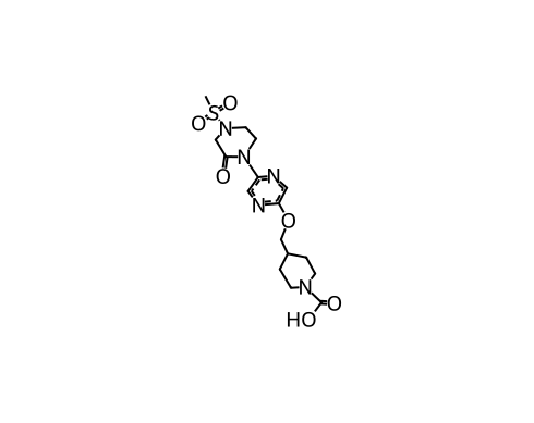 CS(=O)(=O)N1CCN(c2cnc(OCC3CCN(C(=O)O)CC3)cn2)C(=O)C1